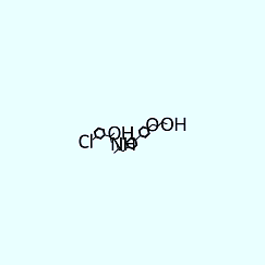 CC(Cc1ccc(-c2ccc(OCCO)cc2)cc1)NCC(O)c1cccc(Cl)c1